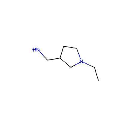 CCN1CCC(C[NH])C1